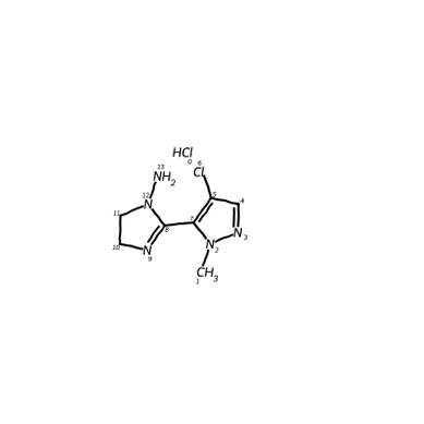 Cl.Cn1ncc(Cl)c1C1=NCCN1N